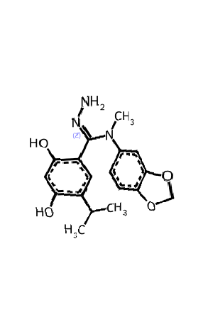 CC(C)c1cc(/C(=N/N)N(C)c2ccc3c(c2)OCO3)c(O)cc1O